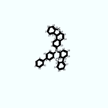 c1ccc(-c2ccc(N(c3ccc4c(ccc5sc6ccccc6c54)c3)c3cccc4c3oc3ccccc34)cc2)cc1